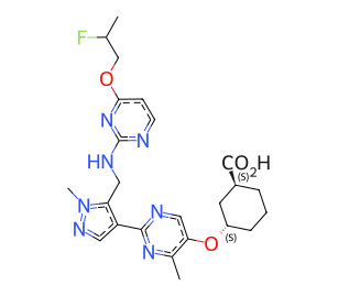 Cc1nc(-c2cnn(C)c2CNc2nccc(OCC(C)F)n2)ncc1O[C@H]1CCC[C@H](C(=O)O)C1